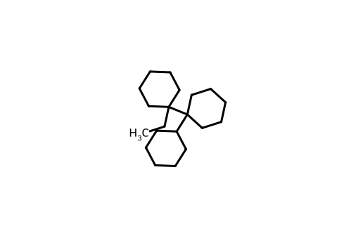 CCC1(C2(C3CCCCC3)CCCCC2)CCCCC1